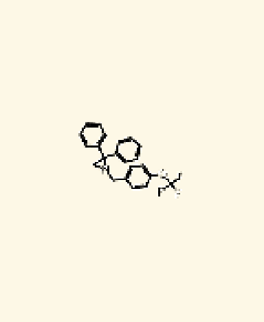 FC(F)(F)Oc1ccc(CN2CC2(c2ccccc2)c2ccccc2)cc1